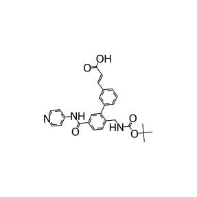 CC(C)(C)OC(=O)NCc1ccc(C(=O)Nc2ccncc2)cc1-c1cccc(/C=C/C(=O)O)c1